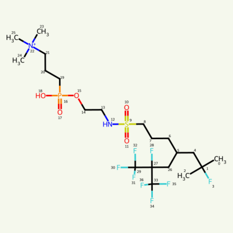 CC(C)(F)CC(CCCS(=O)(=O)NCCOP(=O)(O)CCC[N+](C)(C)C)CC(F)(C(F)(F)F)C(F)(F)F